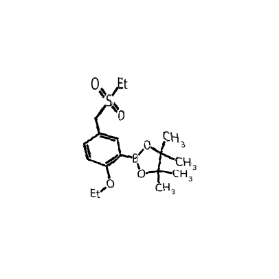 CCOc1ccc(CS(=O)(=O)CC)cc1B1OC(C)(C)C(C)(C)O1